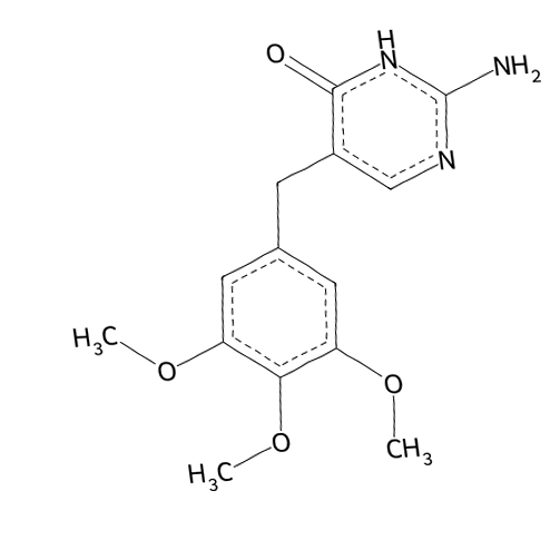 COc1cc(Cc2cnc(N)[nH]c2=O)cc(OC)c1OC